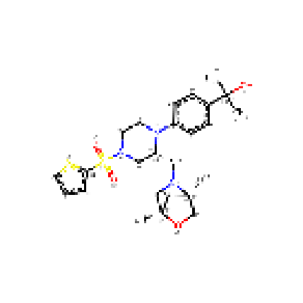 C[C@@](O)(c1ccc(N2CCN(S(=O)(=O)c3cccs3)C[C@H]2CN2C[C@H]3C[C@@H]2CO3)cc1)C(F)(F)F